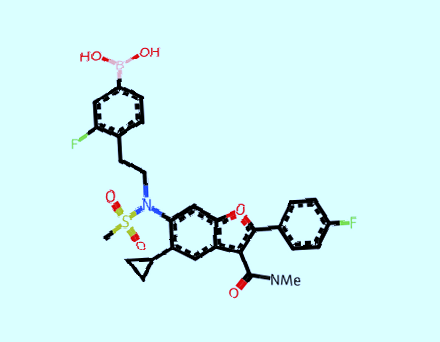 CNC(=O)c1c(-c2ccc(F)cc2)oc2cc(N(CCc3ccc(B(O)O)cc3F)S(C)(=O)=O)c(C3CC3)cc12